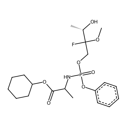 COC(F)(COP(=O)(NC(C)C(=O)OC1CCCCC1)Oc1ccccc1)[C@H](C)O